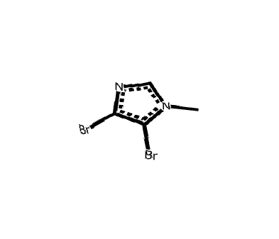 Cn1cnc(Br)c1Br